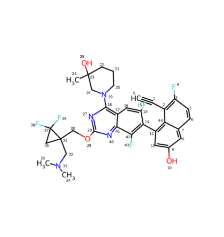 C#Cc1c(F)ccc2cc(O)cc(-c3c(F)cc4c(N5CCCC(C)(O)C5)nc(OCC5(CN(C)C)CC5(F)F)nc4c3F)c12